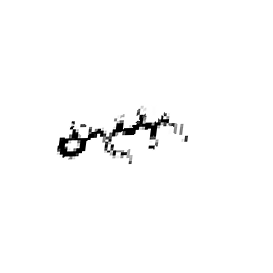 COC(=O)C(O)=CC(=O)N(Cc1ccccc1C)OC